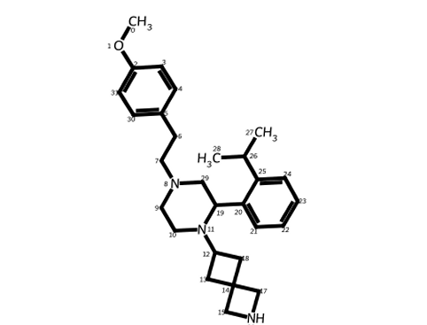 COc1ccc(CCN2CCN(C3CC4(CNC4)C3)C(c3ccccc3C(C)C)C2)cc1